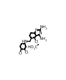 CC(=O)O.Nc1nc(N)c2c(Cl)c(CNc3ccc(Cl)c(Cl)c3)ccc2n1